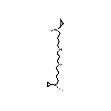 CN(CCCCNCCCNCCCCN(C)C1CC1)C1CC1